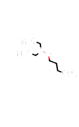 CCCCO[Si](CC)CC